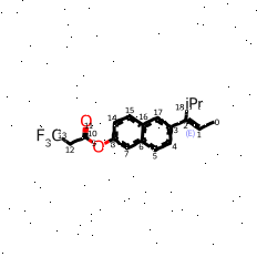 C/C=C(/c1ccc2cc(OC(=O)CC(F)(F)F)ccc2c1)C(C)C